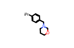 CC(C)c1ccc(CN2CCCOC2)cc1